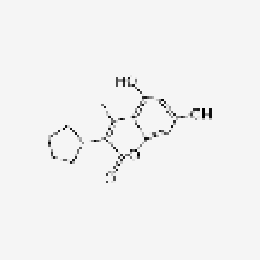 Cc1c(C2CCCC2)c(=O)oc2cc(O)cc(O)c12